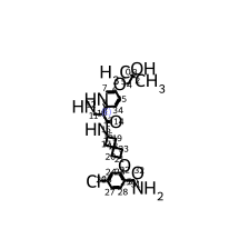 CC(C)(O)COC1=CN/C(=C(\C=N)C(=O)NC2CC3(C2)CC(Oc2cc(Cl)ccc2C(N)=O)C3)C=C1